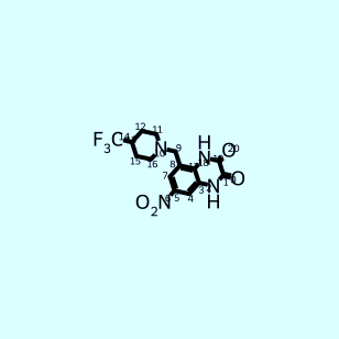 O=c1[nH]c2cc([N+](=O)[O-])cc(CN3CCC(C(F)(F)F)CC3)c2[nH]c1=O